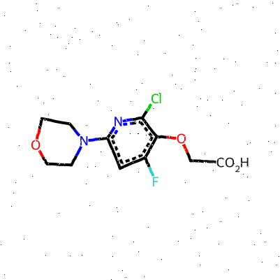 O=C(O)COc1c(F)cc(N2CCOCC2)nc1Cl